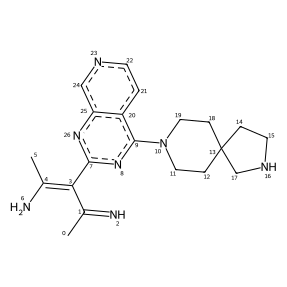 CC(=N)/C(=C(/C)N)c1nc(N2CCC3(CCNC3)CC2)c2ccncc2n1